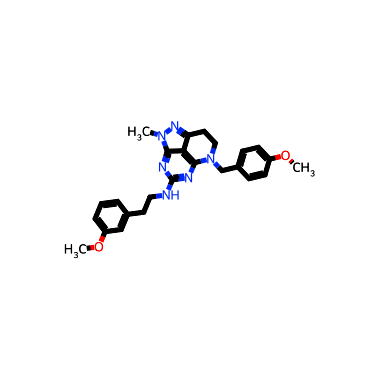 COc1ccc(CN2CCc3nn(C)c4nc(NCCc5cccc(OC)c5)nc2c34)cc1